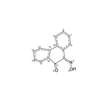 O=C1/C(=N\O)c2ccccc2-c2ccccc21